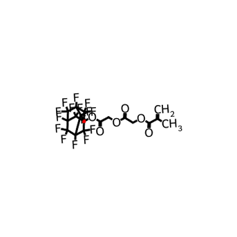 C=C(C)C(=O)OCC(=O)OCC(=O)OC12C(F)(F)C3(F)C(F)(F)C(F)(C(F)(F)C(F)(C3(F)F)C1(F)F)C2(F)F